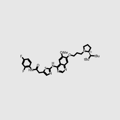 COc1cc2c(Nc3ncc(CC(=O)Nc4ccc(F)cc4F)s3)ncnc2cc1OCCCN1CCC[C@H]1[C](C(C)(C)C)C(C)(C)C